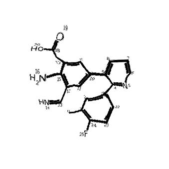 Cc1cc(-c2ncccc2-c2cc(C=N)c(N)c(C(=O)O)c2)ccc1F